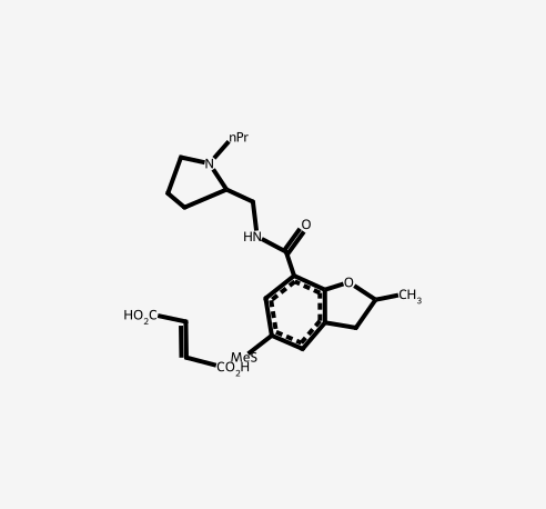 CCCN1CCCC1CNC(=O)c1cc(SC)cc2c1OC(C)C2.O=C(O)C=CC(=O)O